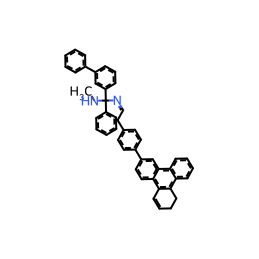 CNC(/N=C\Cc1ccc(-c2ccc3c4c(c5ccccc5c3c2)CCC=C4)cc1)(c1ccccc1)c1cccc(-c2ccccc2)c1